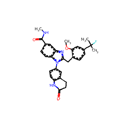 CNC(=O)c1ccc2c(c1)nc(Cc1ccc(C(C)(C)F)cc1OC)n2-c1ccc2c(c1)CCC(=O)N2